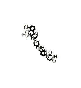 CC1(NCc2ccc(N3CCC(=O)NC3=O)nn2)CCN(c2cnc(-c3cccc(Cl)c3Cl)c(N)n2)CC1